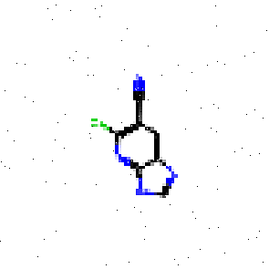 N#Cc1cc2nc[nH]c2nc1Cl